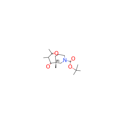 CC(=O)C(C)C(=O)[C@]1(C)CCCN(C(=O)OC(C)(C)C)C1